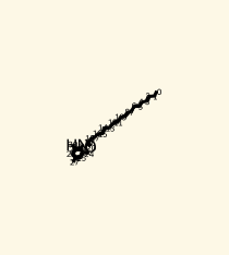 CC/C=C/C/C=C/C/C=C/C/C=C/C/C=C/CCCC(=O)Nc1c(C)cc(C)cc1C